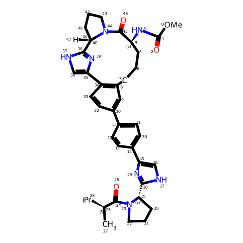 COC(=O)N[C@H]1CCCc2cc(-c3ccc(-c4c[nH]c([C@@H]5CCCN5C(=O)[C@@H](C)C(C)C)n4)cc3)ccc2-c2c[nH]c(n2)[C@@H]2CCCN2C1=O